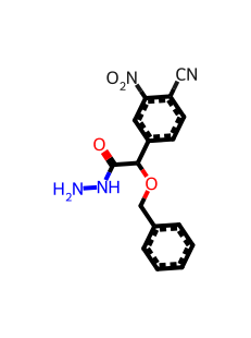 N#Cc1ccc(C(OCc2ccccc2)C(=O)NN)cc1[N+](=O)[O-]